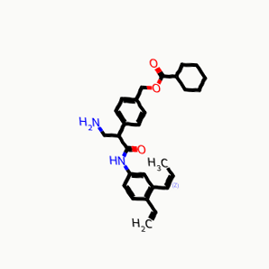 C=Cc1ccc(NC(=O)C(CN)c2ccc(COC(=O)C3CCCCC3)cc2)cc1/C=C\C